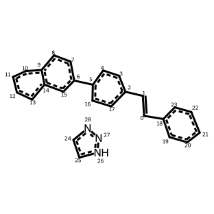 C(=Cc1ccc(-c2ccc3ccccc3c2)cc1)c1ccccc1.c1c[nH]nn1